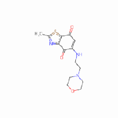 Cc1nc2c(s1)C(=O)C=C(NCCN1CCOCC1)C2=O